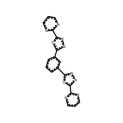 c1cnc(-c2nnc(-c3cccc(-c4nnc(-c5ncccn5)o4)c3)o2)nc1